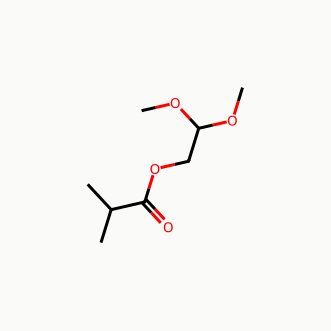 COC(COC(=O)C(C)C)OC